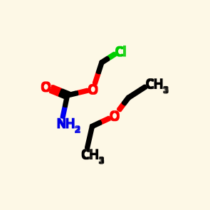 CCOCC.NC(=O)OCCl